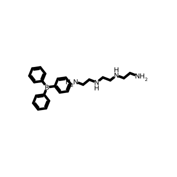 NCCNCCNCCN.c1ccc(B(c2ccccc2)c2ccccc2)cc1